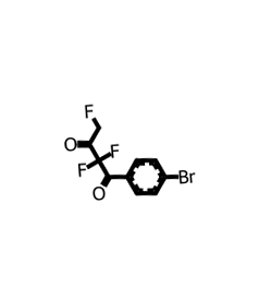 O=C(CF)C(F)(F)C(=O)c1ccc(Br)cc1